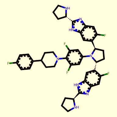 Fc1ccc(C2CCN(c3c(F)cc(N4[C@@H](c5cc6[nH]c([C@@H]7CCCN7)nc6cc5F)CC[C@@H]4c4cc5[nH]c([C@@H]6CCCN6)nc5cc4F)cc3F)CC2)cc1